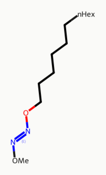 CCCCCCCCCCCCO/N=N/OC